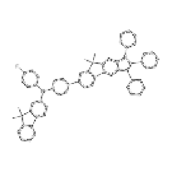 CC1(C)c2ccccc2-c2ccc(N(c3ccc(F)cc3)c3ccc(-c4ccc5c(c4)C(C)(C)c4cc6c(cc4-5)c(-c4ccccc4)c(-c4ccccc4)n6-c4ccccc4)cc3)cc21